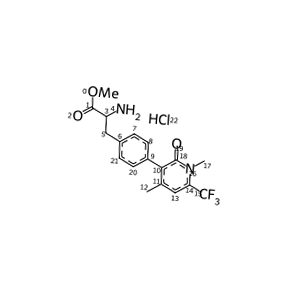 COC(=O)C(N)Cc1ccc(-c2c(C)cc(C(F)(F)F)n(C)c2=O)cc1.Cl